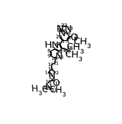 COc1cc(-c2[nH]c3ccc(CCC4CN(C(=O)CN(C)C)C4)nc3c2C(C)C)cn2ncnc12